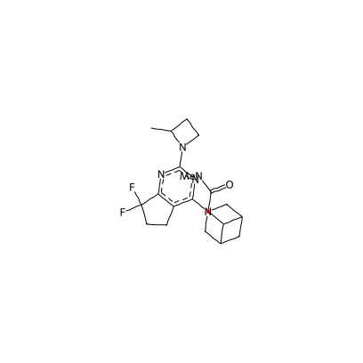 CNC(=O)CC1C2CC1CN(c1nc(N3CCC3C)nc3c1CCC3(F)F)C2